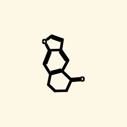 O=C1CCCc2cc3occc3cc21